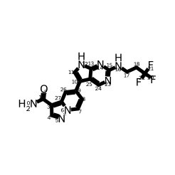 NC(=O)c1cnn2ccc(-c3c[nH]c4nc(NCCC(F)(F)F)ncc34)cc12